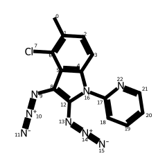 Cc1ccc2c(c1Cl)c(N=[N+]=[N-])c(N=[N+]=[N-])n2-c1ccccn1